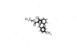 CCOC(=O)c1c(Cl)c2c(n1Cc1ccc(C)cc1)C(=O)CCC2